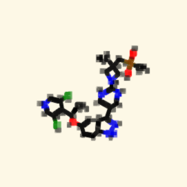 C[C@@H](Oc1ccc2[nH]nc(-c3cnc(N4CC(C)(CS(C)(=O)=O)C4)nc3)c2c1)c1c(Cl)cncc1Cl